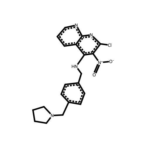 O=[N+]([O-])c1c(Cl)nc2ncccc2c1NCc1ccc(CN2CCCC2)cc1